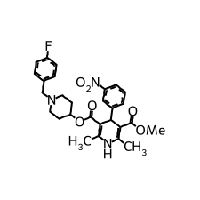 COC(=O)C1=C(C)NC(C)=C(C(=O)OC2CCN(Cc3ccc(F)cc3)CC2)C1c1cccc([N+](=O)[O-])c1